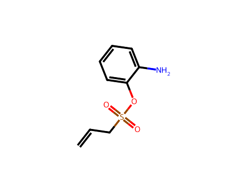 C=CCS(=O)(=O)Oc1ccccc1N